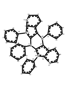 c1ccc(B2c3c(c4cccnc4n3-c3ccccc3)N(c3ccccc3)c3c2n(-c2ccccc2)c2ncccc32)cc1